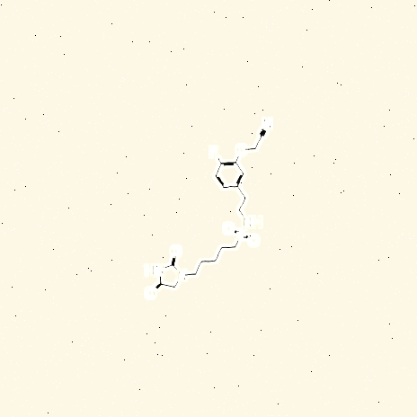 N#CCOc1cc(CCNS(=O)(=O)CCCCCN2CC(=O)NC2=O)ccc1F